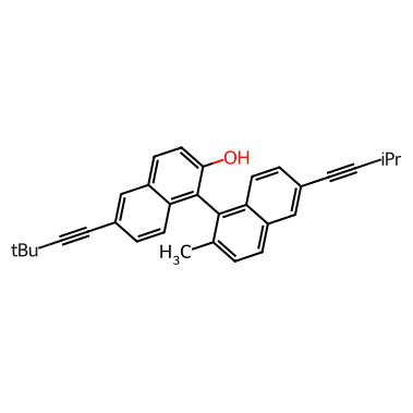 Cc1ccc2cc(C#CC(C)C)ccc2c1-c1c(O)ccc2cc(C#CC(C)(C)C)ccc12